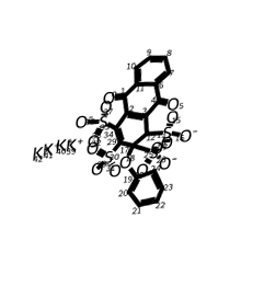 O=C1C2=C(C(=O)c3ccccc31)C(S(=O)(=O)[O-])C(Oc1ccccc1)(S(=O)(=O)[O-])C(S(=O)(=O)[O-])=C2S(=O)(=O)[O-].[K+].[K+].[K+].[K+]